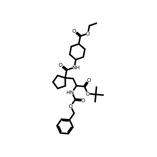 CCOC(=O)C1CCC(NC(=O)C2(CC(NC(=O)OCc3ccccc3)C(=O)OC(C)(C)C)CCCC2)CC1